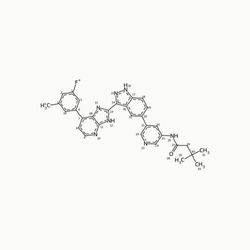 Cc1cc(F)cc(-c2ccnc3[nH]c(-c4n[nH]c5ccc(-c6cncc(NC(=O)CC(C)(C)C)c6)cc45)nc23)c1